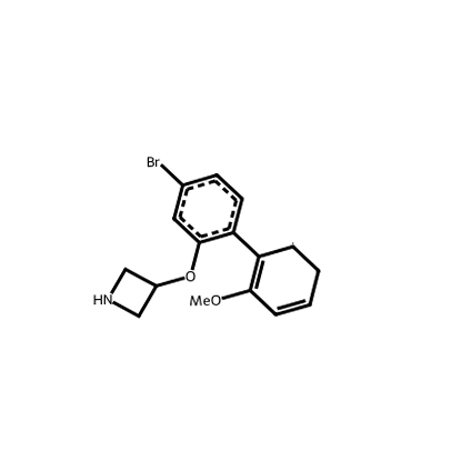 COC1=C(c2ccc(Br)cc2OC2CNC2)[CH]CC=C1